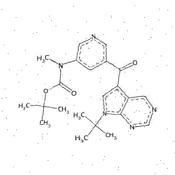 CN(C(=O)OC(C)(C)C)c1cncc(C(=O)c2cn(C(C)(C)C)c3ncncc23)c1